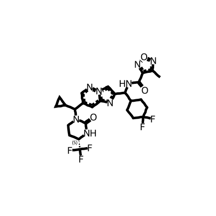 Cc1nonc1C(=O)NC(c1cn2ncc(C(C3CC3)N3CC[C@@H](C(F)(F)F)NC3=O)cc2n1)C1CCC(F)(F)CC1